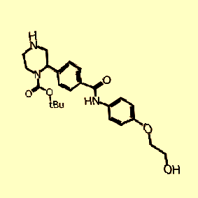 CC(C)(C)OC(=O)N1CCNCC1c1ccc(C(=O)Nc2ccc(OCCO)cc2)cc1